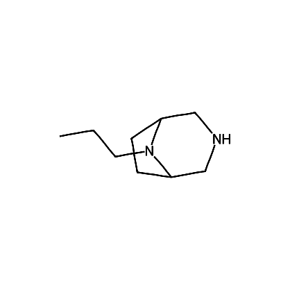 CCCN1C2CCC1CNC2